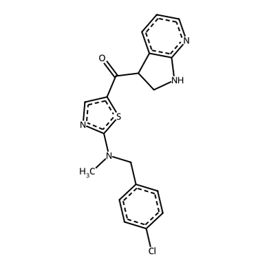 CN(Cc1ccc(Cl)cc1)c1ncc(C(=O)C2CNc3ncccc32)s1